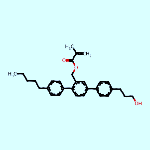 C=C(C)C(=O)OCc1cc(-c2ccc(CCCO)cc2)ccc1-c1ccc(CCCCC)cc1